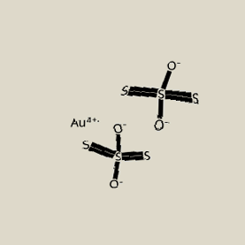 [Au+4].[O-]S([O-])(=S)=S.[O-]S([O-])(=S)=S